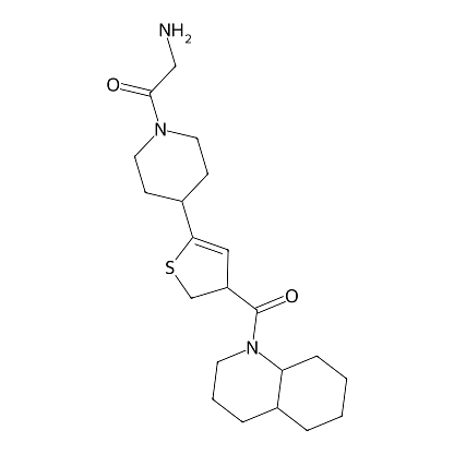 NCC(=O)N1CCC(C2=CC(C(=O)N3CCCC4CCCCC43)CS2)CC1